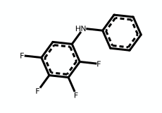 Fc1cc(Nc2ccccc2)c(F)c(F)c1F